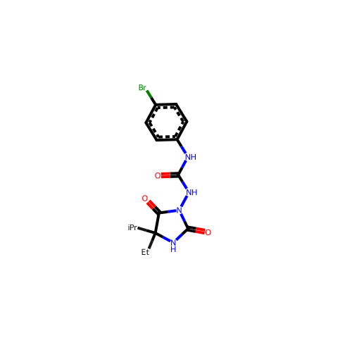 CCC1(C(C)C)NC(=O)N(NC(=O)Nc2ccc(Br)cc2)C1=O